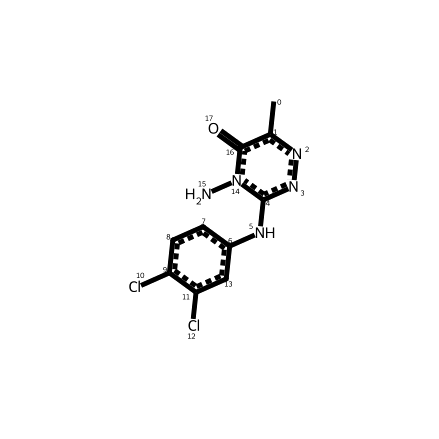 Cc1nnc(Nc2ccc(Cl)c(Cl)c2)n(N)c1=O